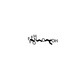 CC/C(=C\COCCCNC(=O)C(F)(F)F)CO